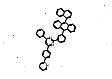 c1ccc(-c2cc(-c3ccc(-c4ccccn4)cc3)nc(-c3cccc(-c4c5ccccc5c(-c5cccc6ccccc56)c5ccccc45)c3)n2)cc1